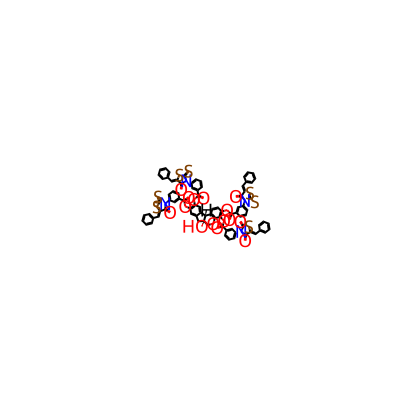 O=C(Oc1cc2c(cc1OC(=O)c1cccc(N3C(=O)/C(=C/c4ccccc4)SC3=S)c1)[C@@H]1c3ccc(OC(=O)c4cccc(N5C(=O)/C(=C/c6ccccc6)SC5=S)c4)c(OC(=O)c4cccc(N5C(=O)S/C(=C\c6ccccc6)C5=O)c4)c3OC[C@]1(O)C2)c1cccc(N2C(=O)/C(=C/c3ccccc3)SC2=S)c1